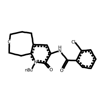 CCCCn1c2c(cc(NC(=O)c3ccccc3Cl)c1=O)CCCCCC2